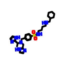 CC(c1ncc[nH]1)N(Cc1ccc(S(=O)(=O)NCCCCNCC2CCCCC2)cc1)Cc1ncc[nH]1